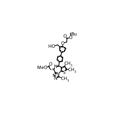 COC(=O)C[C@@H]1N=C(c2ccc(-c3ccc(OCC(=O)OC(C)(C)C)c(CO)c3)cc2)c2c(sc(C)c2C)-n2c(C)nnc21